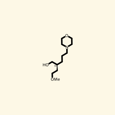 [CH2]OCC[C@@H](CO)CCCN1CCOCC1